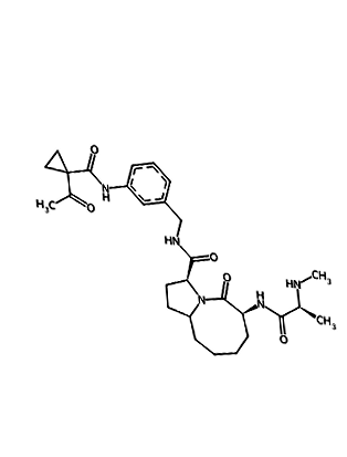 CN[C@@H](C)C(=O)N[C@H]1CCCCC2CC[C@@H](C(=O)NCc3cccc(NC(=O)C4(C(C)=O)CC4)c3)N2C1=O